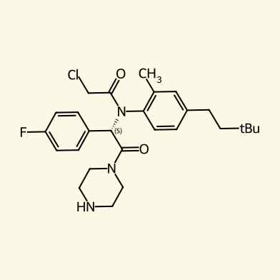 Cc1cc(CCC(C)(C)C)ccc1N(C(=O)CCl)[C@H](C(=O)N1CCNCC1)c1ccc(F)cc1